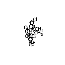 CC(C)N1CC2N(C(=O)CCN2S(=O)(=O)c2ccc(C(F)(F)F)cc2Cl)C(Cc2ccc(Cl)cc2)C1=O